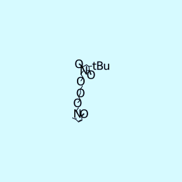 CC1C=CC(=O)N1CCOCCOCCOCCN1C(=O)CC(C(C)(C)C)C1=O